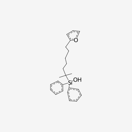 CC(C)(CCCCCc1ccco1)[Si](O)(c1ccccc1)c1ccccc1